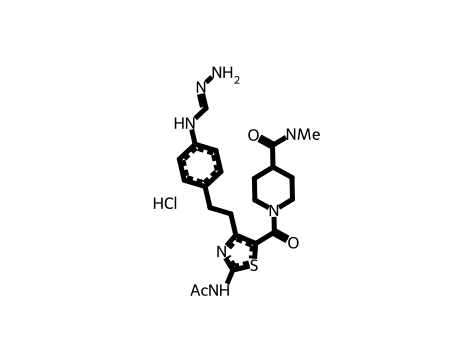 CNC(=O)C1CCN(C(=O)c2sc(NC(C)=O)nc2CCc2ccc(NC=NN)cc2)CC1.Cl